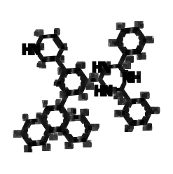 C1=CC(c2cc(-c3cc4ccccc4c4ccccc34)cc(C3NC(c4ccccc4)NC(c4ccccc4)N3)c2)=CNC1